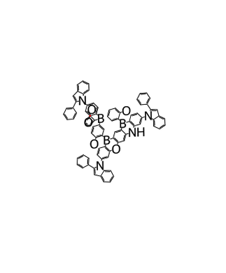 c1ccc(-c2cc3ccccc3n2-c2cc3c4c(c2)Oc2ccccc2B4c2cc4c(cc2N3)Oc2cc(-n3c(-c5ccccc5)cc5ccccc53)cc3c2B4c2cc4c(cc2O3)Oc2cc(-n3c(-c5ccccc5)cc5ccccc53)cc3c2B4c2ccccc2O3)cc1